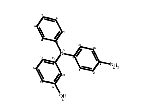 Nc1ccc(N(c2ccccc2)c2cccc(O)c2)cc1